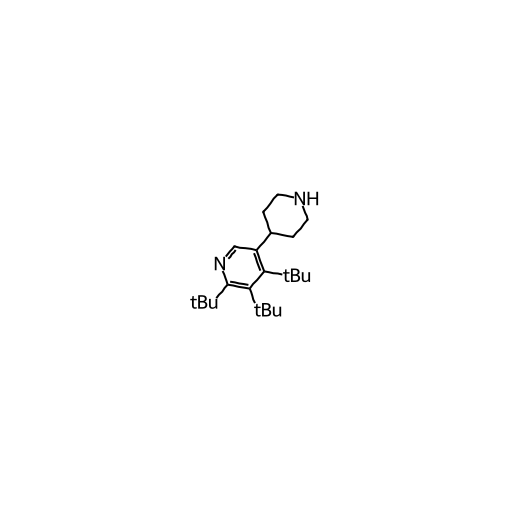 CC(C)(C)c1ncc(C2CCNCC2)c(C(C)(C)C)c1C(C)(C)C